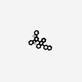 C1=Cc2c(oc3c2cc(-c2c4c(c(C5CCC6CCC=CC6C5)c5ccccc25)CCCC4)c2oc4c(c23)C=CCC4)CC1